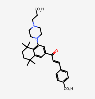 CC1(C)CCC(C)(C)c2c(N3CCN(CCC(=O)O)CC3)cc(C(=O)C=Cc3ccc(C(=O)O)cc3)cc21